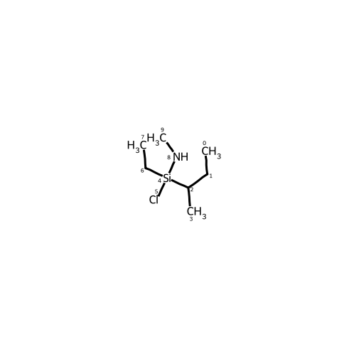 CCC(C)[Si](Cl)(CC)NC